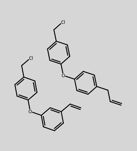 C=CCc1ccc(Oc2ccc(CCl)cc2)cc1.C=Cc1cccc(Oc2ccc(CCl)cc2)c1